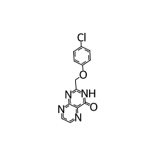 O=c1[nH]c(COc2ccc(Cl)cc2)nc2nccnc12